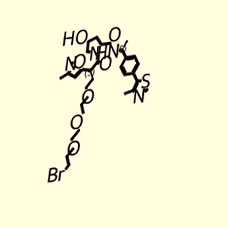 Cc1cc([C@H](CCOCCOCCOCCBr)C(=O)N2CC(O)CC2C(=O)N[C@@H](C)c2ccc(-c3scnc3C)cc2)on1